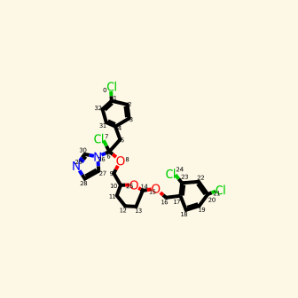 Clc1ccc(CC(Cl)(OCC2CCCC(OCc3ccc(Cl)cc3Cl)O2)n2ccnc2)cc1